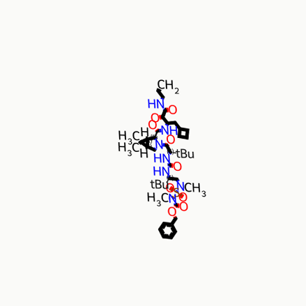 C=CCNC(=O)C(=O)C(CC1CCC1)NC(=O)[C@@H]1[C@@H]2[C@H](CN1C(=O)[C@@H](NC(=O)N[C@H](CN(C)S(=O)(=O)N(C)C(=O)OCc1ccccc1)C(C)(C)C)C(C)(C)C)C2(C)C